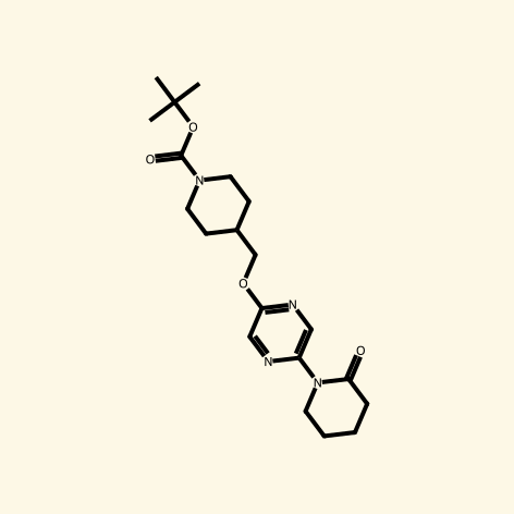 CC(C)(C)OC(=O)N1CCC(COc2cnc(N3CCCCC3=O)cn2)CC1